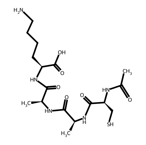 CC(=O)N[C@@H](CS)C(=O)N[C@@H](C)C(=O)N[C@@H](C)C(=O)N[C@@H](CCCCN)C(=O)O